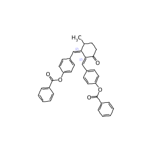 CC1CCC(=O)C(=C\c2ccc(OC(=O)c3ccccc3)cc2)/C1=C\c1ccc(OC(=O)c2ccccc2)cc1